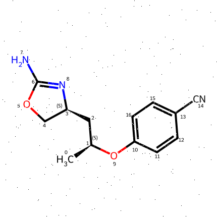 C[C@@H](C[C@H]1COC(N)=N1)Oc1ccc(C#N)cc1